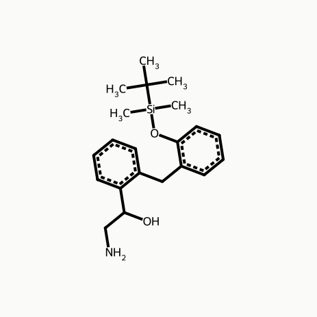 CC(C)(C)[Si](C)(C)Oc1ccccc1Cc1ccccc1C(O)CN